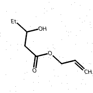 C=CCOC(=O)CC(O)CC